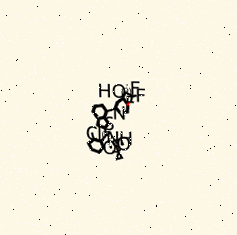 C[C@@](O)(c1ccnc(-c2cccc3cc([C@H](NS(=O)(=O)C4CC4)c4ccccc4Cl)sc23)c1)C(F)(F)F